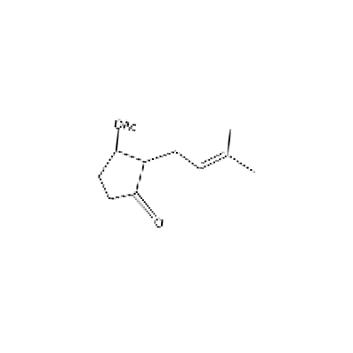 CC(=O)OC1CCC(=O)C1CC=C(C)C